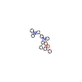 c1ccc(-c2ccc(N(c3ccc(-c4cccc(-n5c6ccccc6c6ccccc65)c4)cc3)c3ccccc3-c3ccc4c(c3)oc3c(-c5ccccc5)cccc34)cc2)cc1